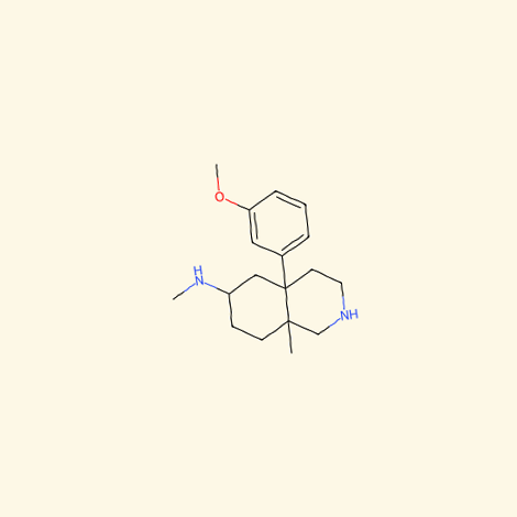 CNC1CCC2(C)CNCCC2(c2cccc(OC)c2)C1